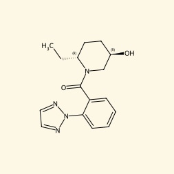 CC[C@@H]1CC[C@@H](O)CN1C(=O)c1ccccc1-n1nccn1